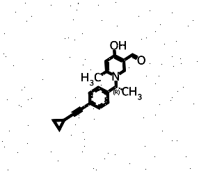 CC1=CC(O)=C(C=O)CN1[C@H](C)c1ccc(C#CC2CC2)cc1